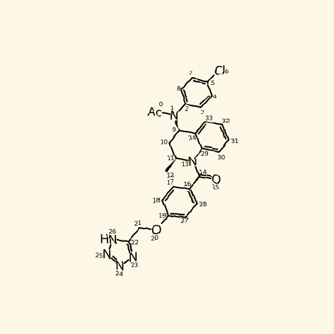 CC(=O)N(c1ccc(Cl)cc1)[C@@H]1C[C@H](C)N(C(=O)c2ccc(OCc3nnn[nH]3)cc2)c2ccccc21